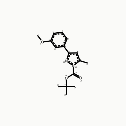 COc1cccc(-c2cc(C)n(C(=O)OC(C)(C)C)n2)c1